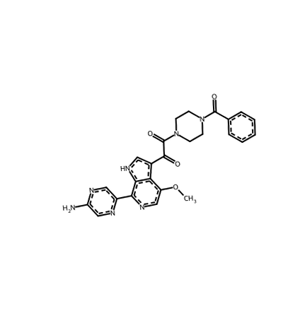 COc1cnc(-c2cnc(N)cn2)c2[nH]cc(C(=O)C(=O)N3CCN(C(=O)c4ccccc4)CC3)c12